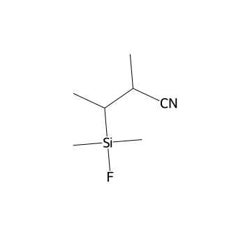 CC(C#N)C(C)[Si](C)(C)F